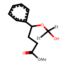 CCC(O)(CC)OC(CCC(=O)OC)c1ccccc1